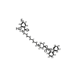 CN(CCCCCCCCCN1CCC(OC(=O)Nc2ccccc2-c2ccccc2)CC1)C(=O)c1ccc(F)cc1O